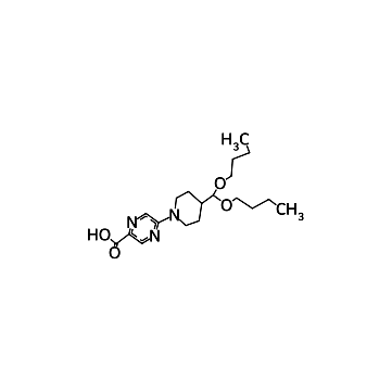 CCCCOC(OCCCC)C1CCN(c2cnc(C(=O)O)cn2)CC1